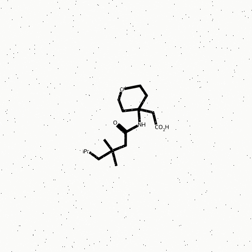 CC(C)CC(C)(C)CC(=O)NC1(CC(=O)O)CCOCC1